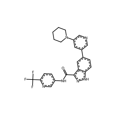 O=C(Nc1ccc(C(F)(F)F)nc1)c1n[nH]c2ccc(-c3cncc(N4CCCCC4)c3)cc12